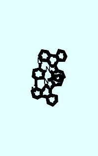 N#Cc1ccc(C#N)c(-n2c3ccccc3c3c4ccccc4c4ccccc4c32)c1-n1c2ccccc2c2c3ccccc3c3ccccc3c21